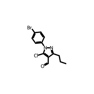 CCCc1nn(-c2ccc(Br)cc2)c(Cl)c1C=O